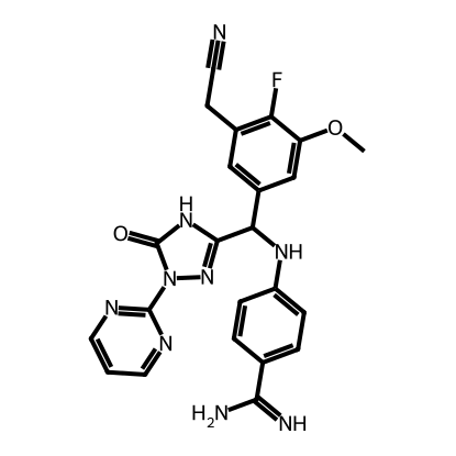 COc1cc(C(Nc2ccc(C(=N)N)cc2)c2nn(-c3ncccn3)c(=O)[nH]2)cc(CC#N)c1F